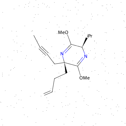 C=CCC[C@@]1(CC#CC)N=C(OC)[C@@H](C(C)C)N=C1OC